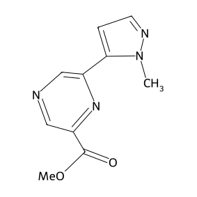 COC(=O)c1cncc(-c2ccnn2C)n1